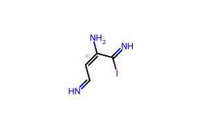 N=C/C=C(/N)C(=N)I